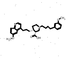 COc1cccc(CCCCN2CC[C@@H](CCCc3ccnc4ccc(OC)cc34)[C@@H](C(=O)O)C2)c1